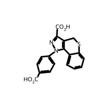 O=C(O)c1ccc(-n2nc(C(=O)O)c3c2-c2ccccc2SC3)cc1